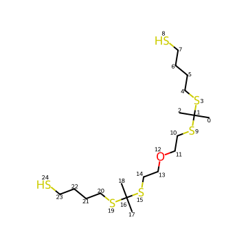 CC(C)(SCCCCS)SCCOCCSC(C)(C)SCCCCS